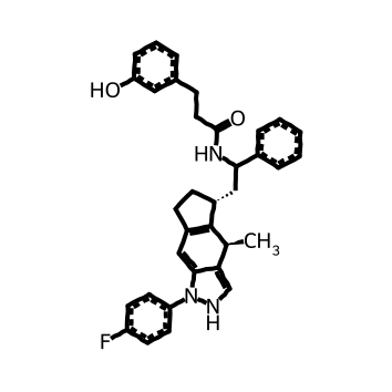 C[C@H]1C2=CNN(c3ccc(F)cc3)C2=CC2=C1[C@@H](CC(NC(=O)CCc1cccc(O)c1)c1ccccc1)CC2